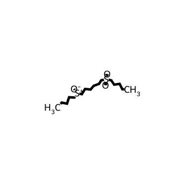 CCCCC[S+]([O-])CCCCCCS(=O)(=O)CCCCC